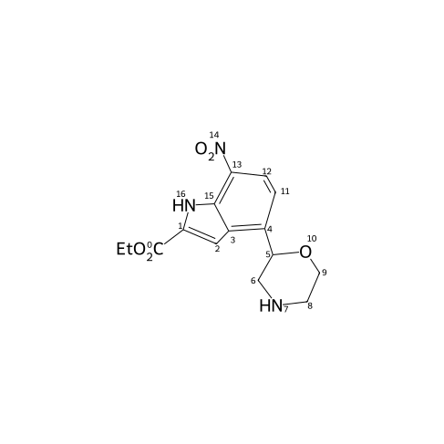 CCOC(=O)c1cc2c(C3CNCCO3)ccc([N+](=O)[O-])c2[nH]1